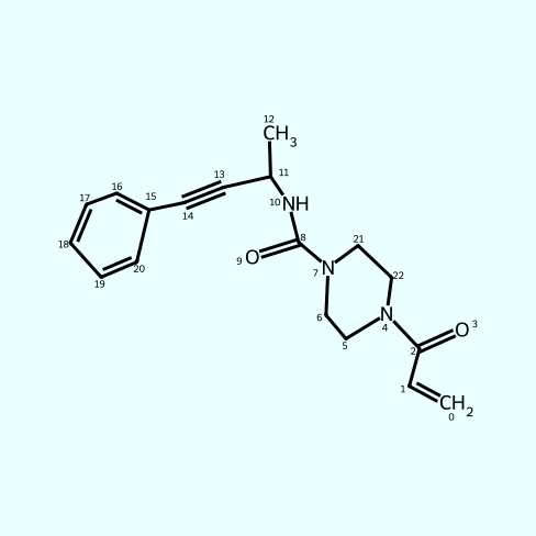 C=CC(=O)N1CCN(C(=O)NC(C)C#Cc2ccccc2)CC1